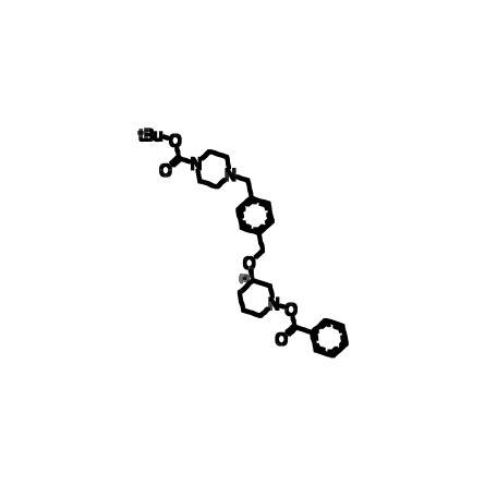 CC(C)(C)OC(=O)N1CCN(Cc2ccc(CO[C@@H]3CCCN(OC(=O)c4ccccc4)C3)cc2)CC1